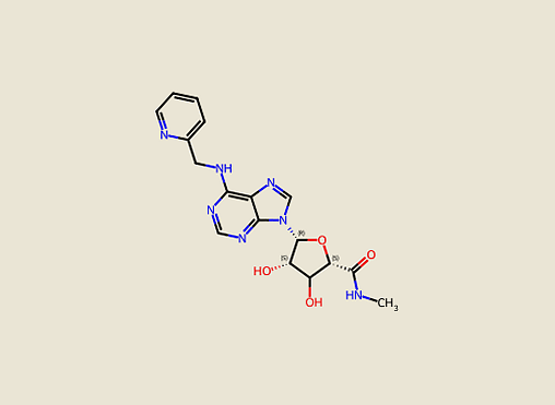 CNC(=O)[C@H]1O[C@@H](n2cnc3c(NCc4ccccn4)ncnc32)[C@@H](O)C1O